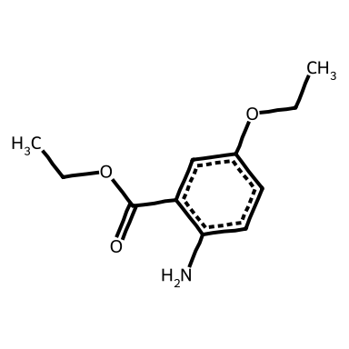 CCOC(=O)c1cc(OCC)ccc1N